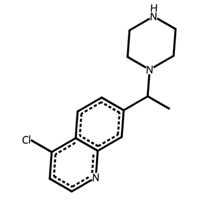 CC(c1ccc2c(Cl)ccnc2c1)N1CCNCC1